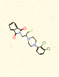 O=C1c2ccccc2C(=O)N1CC(CF)N1CCN(c2cccc(Cl)c2Cl)CC1